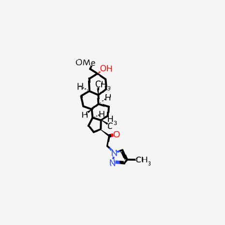 COC[C@@]1(O)CC[C@@]2(C)[C@@H](CC[C@@H]3[C@@H]2CC[C@]2(C)[C@@H](C(=O)Cn4cc(C)cn4)CC[C@@H]32)C1